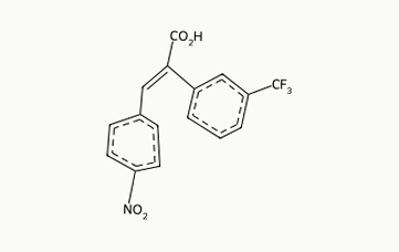 O=C(O)/C(=C/c1ccc([N+](=O)[O-])cc1)c1cccc(C(F)(F)F)c1